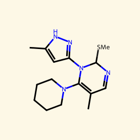 CSC1N=CC(C)=C(N2CCCCC2)N1c1cc(C)[nH]n1